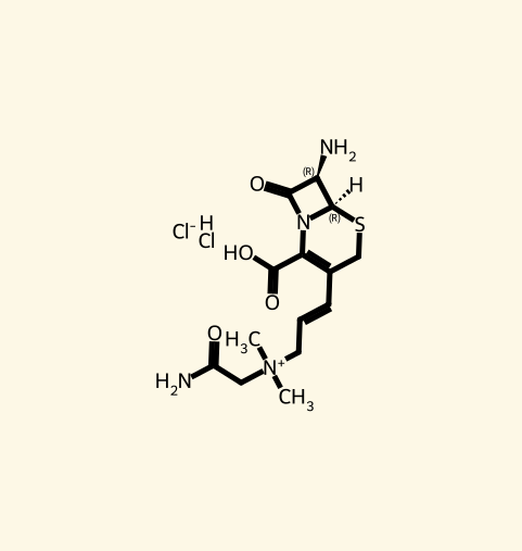 C[N+](C)(CC=CC1=C(C(=O)O)N2C(=O)[C@@H](N)[C@H]2SC1)CC(N)=O.Cl.[Cl-]